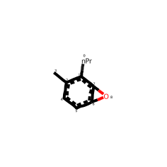 CCCc1c(C)ccc2c1O2